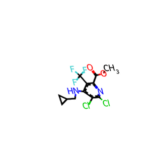 COC(=O)c1nc(Cl)c(Cl)c(NCC2CC2)c1C(F)(F)F